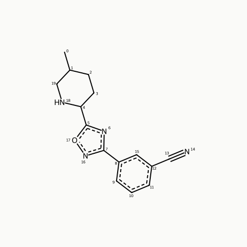 CC1CCC(c2nc(-c3cccc(C#N)c3)no2)NC1